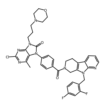 Cc1nc(Cl)nc2c1n(-c1ccc(C(=O)N3CCc4c(n(Cc5ccc(F)cc5F)c5ncccc45)C3)cc1)c(=O)n2CCCN1CCOCC1